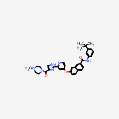 CN1CCN(C(=O)c2c[nH]c(-c3cc(Oc4ccc5ccc(C(=O)Nc6cccc(C(C)(C)C)c6)cc5c4)ccn3)n2)CC1